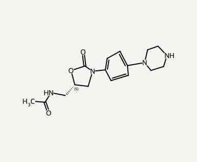 CC(=O)NC[C@H]1CN(c2ccc(N3CCNCC3)cc2)C(=O)O1